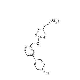 O=C(O)CCc1ccc(OCc2cccc(C3=CCC(O)CC3)c2)cc1